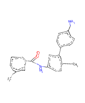 Cc1ccc(NC(=O)c2cccc(C(F)(F)F)c2)cc1-c1ccc(N)cc1